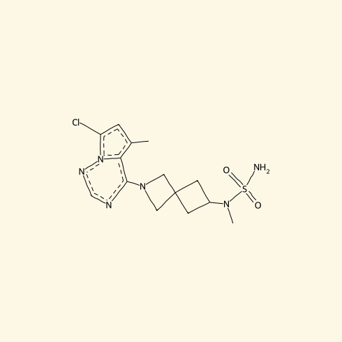 Cc1cc(Cl)n2ncnc(N3CC4(CC(N(C)S(N)(=O)=O)C4)C3)c12